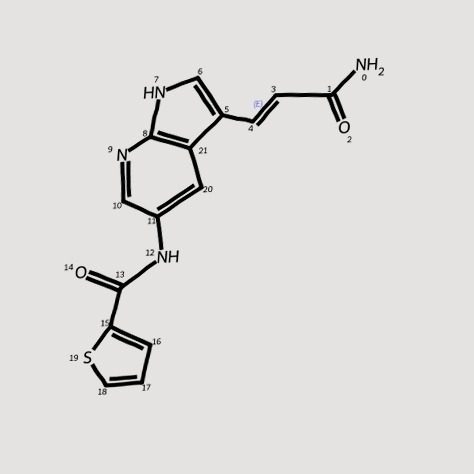 NC(=O)/C=C/c1c[nH]c2ncc(NC(=O)c3cccs3)cc12